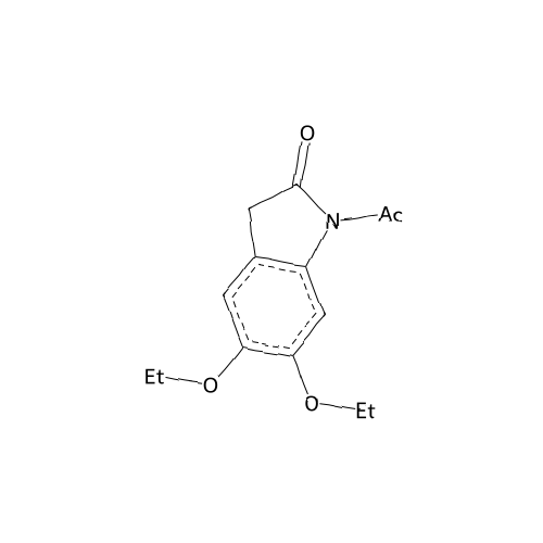 CCOc1cc2c(cc1OCC)N(C(C)=O)C(=O)C2